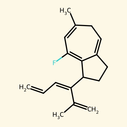 C=C/C=C(\C(=C)C)C1CCC2=CCC(C)=CC(F)=C21